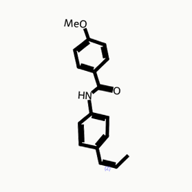 C/C=C\c1ccc(NC(=O)c2ccc(OC)cc2)cc1